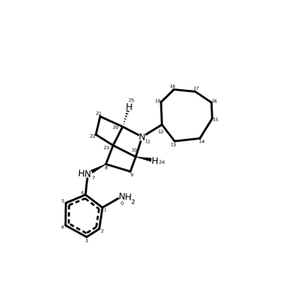 Nc1ccccc1N[C@@H]1C[C@H]2N(C3CCCCCCC3)[C@@H]3CCC132